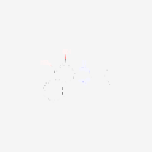 CC(C)c1nc2c([nH]1)c(O)c(O)c1ccccc12